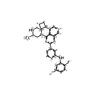 CC1CN(c2nc(-c3ccnc(Nc4nc(F)ccc4F)c3)nc3cncc(C4CCC4)c23)CCN1